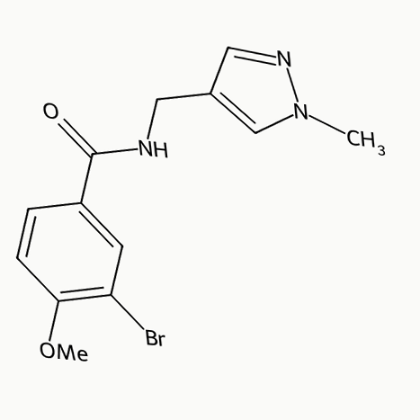 COc1ccc(C(=O)NCc2cnn(C)c2)cc1Br